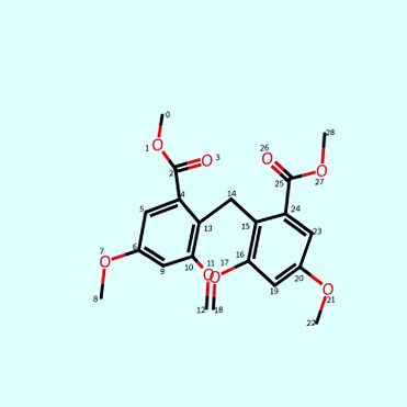 COC(=O)c1cc(OC)cc(OC)c1Cc1c(OC)cc(OC)cc1C(=O)OC